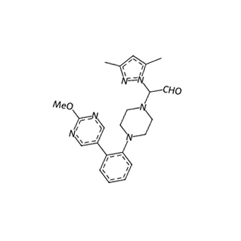 COc1ncc(-c2ccccc2N2CCN(C(C=O)n3nc(C)cc3C)CC2)cn1